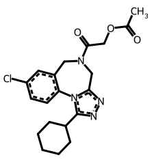 CC(=O)OCC(=O)N1Cc2cc(Cl)ccc2-n2c(nnc2C2CCCCC2)C1